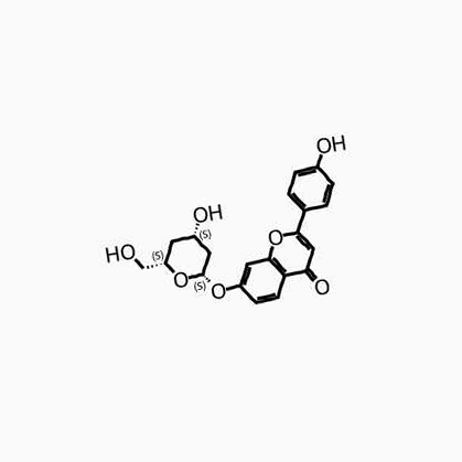 O=c1cc(-c2ccc(O)cc2)oc2cc(O[C@H]3C[C@@H](O)C[C@@H](CO)O3)ccc12